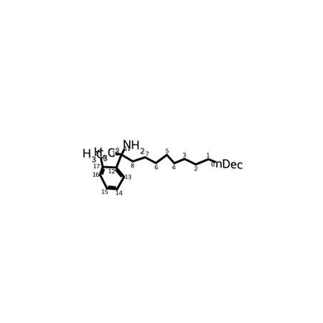 CCCCCCCCCCCCCCCCCCC(C)(N)c1ccccc1C